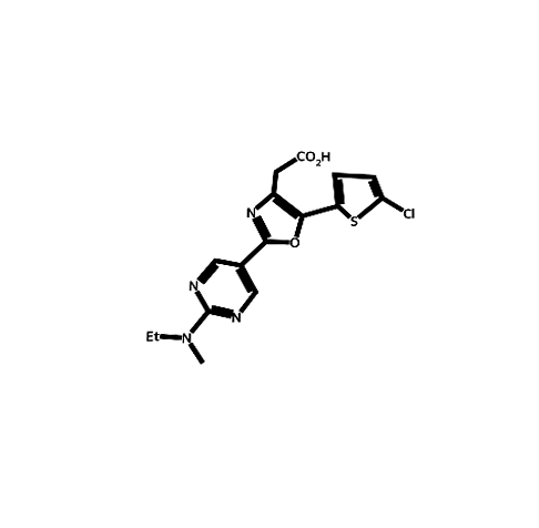 CCN(C)c1ncc(-c2nc(CC(=O)O)c(-c3ccc(Cl)s3)o2)cn1